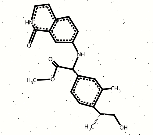 COC(=O)C(Nc1ccc2cc[nH]c(=O)c2c1)c1ccc([C@@H](C)CO)c(C)c1